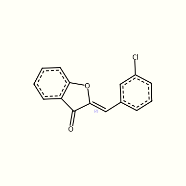 O=C1/C(=C/c2cccc(Cl)c2)Oc2ccccc21